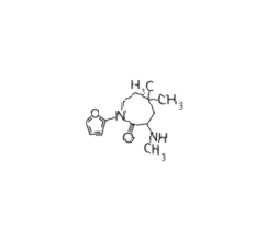 CNC1CC(C)(C)CCN(c2ccco2)C1=O